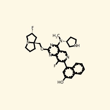 CN(c1nc(OC[C@@]23CCCN2C[C@H](F)C3)nc2c(F)c(-c3cc(O)cc4ccccc34)ncc12)[C@@H]1CCNC1